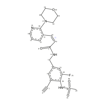 C#Cc1cc(CNC(=O)/C=C\c2cccnc2N2CCOCC2)cc(F)c1NS(C)(=O)=O